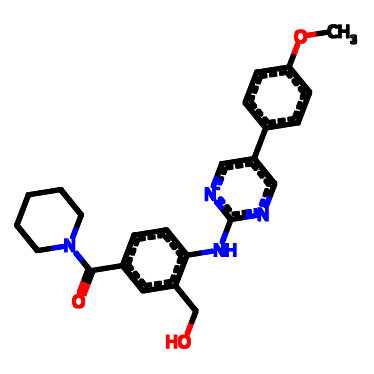 COc1ccc(-c2cnc(Nc3ccc(C(=O)N4CCCCC4)cc3CO)nc2)cc1